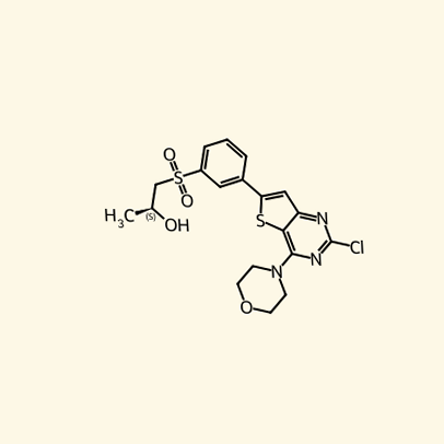 C[C@H](O)CS(=O)(=O)c1cccc(-c2cc3nc(Cl)nc(N4CCOCC4)c3s2)c1